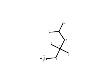 CC(C)CC(C)(C)[CH2][InH2]